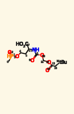 C[PH](=O)OCCC(NC(=O)OCOC(=O)CC(C)(C)C)C(=O)O